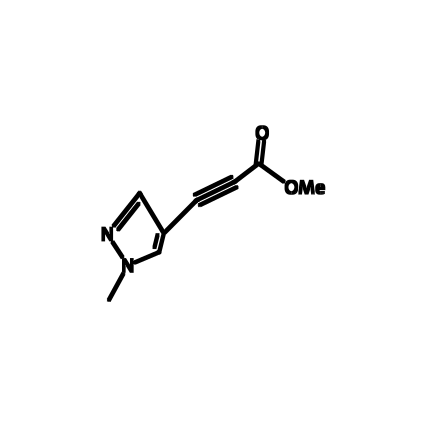 COC(=O)C#Cc1cnn(C)c1